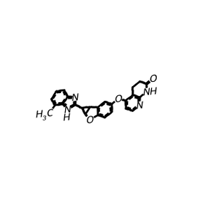 Cc1cccc2nc(C3C4Oc5ccc(Oc6ccnc7c6CCC(=O)N7)cc5C43)[nH]c12